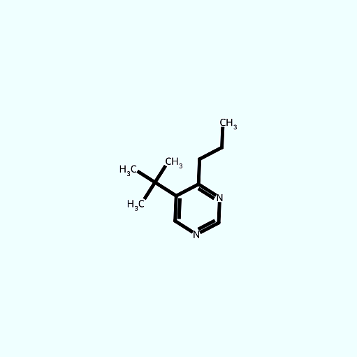 CCCc1ncncc1C(C)(C)C